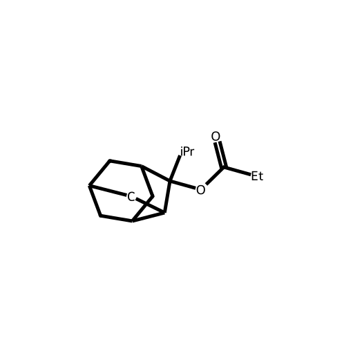 CCC(=O)OC1(C(C)C)C2CC3CC(C2)C1C3